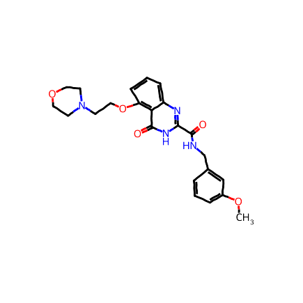 COc1cccc(CNC(=O)c2nc3cccc(OCCN4CCOCC4)c3c(=O)[nH]2)c1